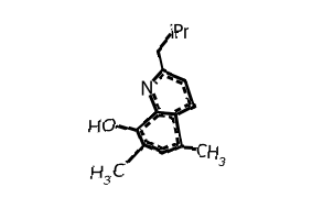 Cc1cc(C)c2ccc(CC(C)C)nc2c1O